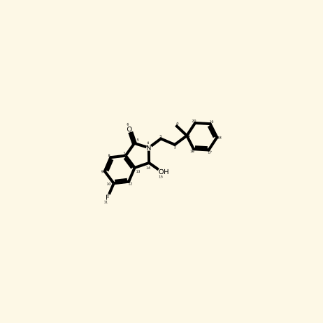 CC1(CCN2C(=O)c3ccc(F)cc3C2O)C=CC=CC1